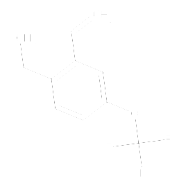 C=Cc1cc(OC(F)(F)F)ccc1CC